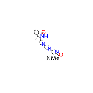 CNC(=O)c1ccc(N2CCC(N3CCC(c4[nH]c(=O)c5ccccc5c4C)C3)CC2)cn1